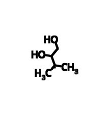 C[C](C)C(O)CO